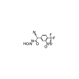 N#CC(C(=O)N=NO)c1ccc(C(F)(F)F)c([N+](=O)[O-])c1